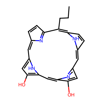 CCCc1c2nc(cc3cc(O)c(cc4nc(cc5ccc1[nH]5)C=C4O)[nH]3)C=C2